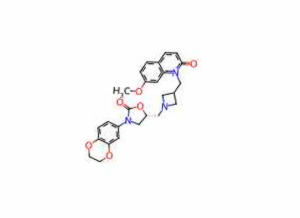 COc1ccc2ccc(=O)n(CC3CN(C[C@@H]4CN(c5ccc6c(c5)OCCO6)C(=O)O4)C3)c2c1